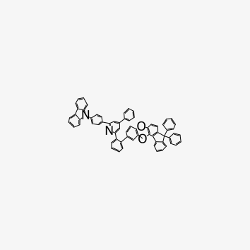 c1ccc(-c2cc(-c3ccc(-n4c5ccccc5c5ccccc54)cc3)nc(-c3ccccc3-c3ccc4c(c3)Oc3c(ccc5c3-c3ccccc3C5(c3ccccc3)c3ccccc3)O4)c2)cc1